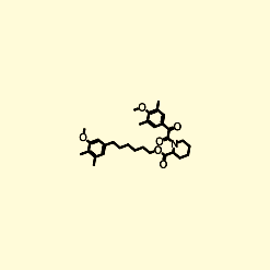 COc1cc(CCCCCCOC(=O)C2CCCCN2C(=O)C(=O)c2cc(C)c(OC)c(C)c2)cc(C)c1C